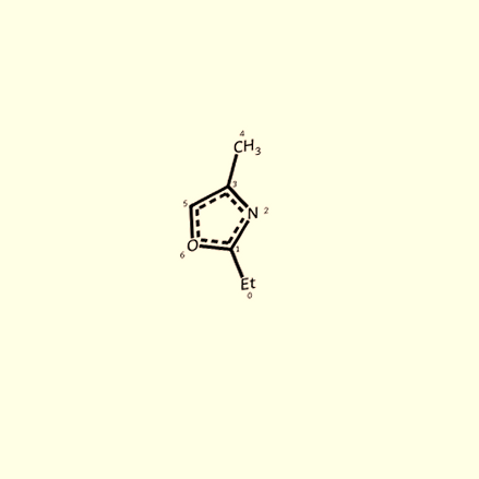 CCc1nc(C)co1